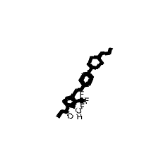 CCCC1CCC(c2ccc(CCc3ccc(C(=O)CC)c(O)c3C(F)(F)F)cc2)CC1